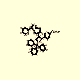 COc1ccc(-c2nn(C(c3ccccc3)(c3ccccc3)c3ccccc3)cc2-c2ccc3ncc(-c4ccccn4)n3c2)cn1